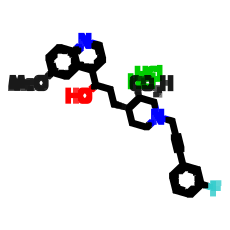 COc1ccc2nccc(C(O)CC[C@@H]3CCN(CC#Cc4cccc(F)c4)C[C@@H]3C(=O)O)c2c1.Cl.Cl